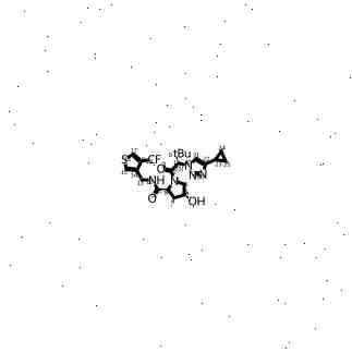 CC(C)(C)[C@@H](C(=O)N1C[C@H](O)C[C@H]1C(=O)NCc1cscc1C(F)(F)F)n1cc(C2CC2)nn1